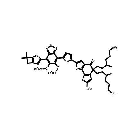 CCCCCCCCOc1c(OCCCCCCCC)c(-c2cc3c(s2)C(C)(C)C3)c2nsnc2c1-c1ccc(-c2cc3c(s2)-c2sc(C(C)(C)C)cc2C(CCC(C)CCCC(C)C)(CCC(C)CCCC(C)C)C3=O)s1